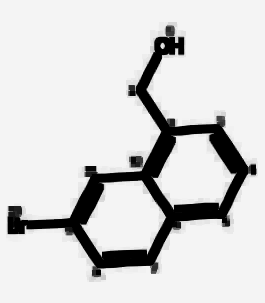 OCc1cccc2ccc(Br)cc12